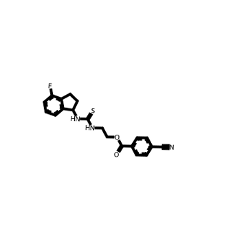 N#Cc1ccc(C(=O)OCCNC(=S)NC2CCc3c(F)cccc32)cc1